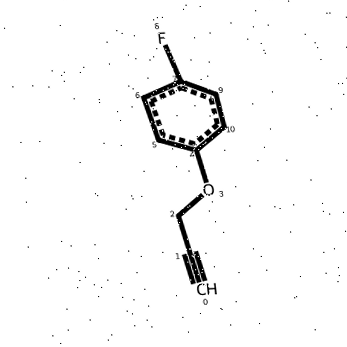 C#CCOc1c[c]c(F)cc1